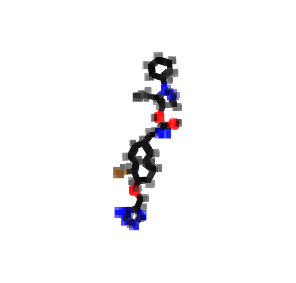 CCCc1c(OC(=O)NCc2ccc3c(Br)c(OCc4nnn[nH]4)ccc3c2)cnn1-c1ccccc1